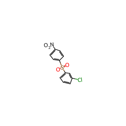 O=[N+]([O-])c1ccc(S(=O)(=O)c2cccc(Cl)c2)cc1